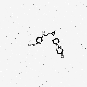 CC(=O)Nc1ccc(NCC[C@@H]2C[C@@H]2C2CCN(c3ncc(Cl)cn3)CC2)cn1